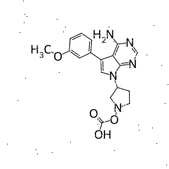 COc1cccc(-c2cn(C3CCN(OC(=O)O)C3)c3ncnc(N)c23)c1